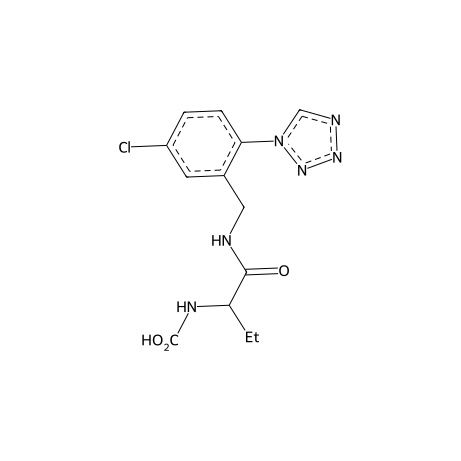 CCC(NC(=O)O)C(=O)NCc1cc(Cl)ccc1-n1cnnn1